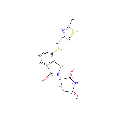 CC(=O)c1nc(CSc2cccc3c2CN(C2CCC(=O)NC2=O)C3=O)cs1